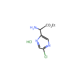 CCOC(=O)C(N)c1cnc(Cl)cn1.Cl